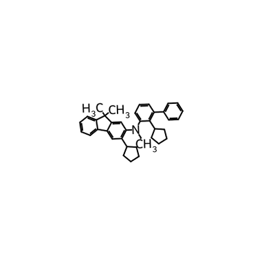 CCN(c1cc2c(cc1C1CCCC1)-c1ccccc1C2(C)C)c1cccc(-c2ccccc2)c1C1CCCC1